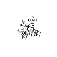 CC(C)(C)[C@H](NC(=O)C(F)(F)F)C(=O)N1C[C@H]2[C@@H]([C@H]1C(=O)NC(C[C@@H]1CCNC1=O)C(=O)C(=O)NC1CC1)C2(C)C